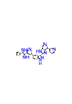 CCC(=N)C(=N)c1cncc(-c2ccc3[nH]nc(-c4nc5c(-c6cccnc6)cncc5[nH]4)c3c2)c1